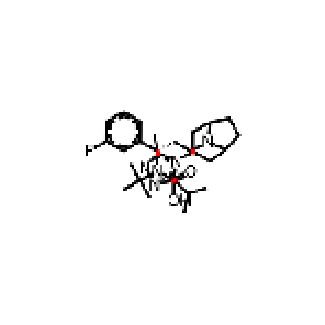 Cc1nnc(C(C)C)n1C1CC2CCC(C1)N2CC[C@@H](c1cccc(F)c1)N(C(=O)O)C(C)(C)C